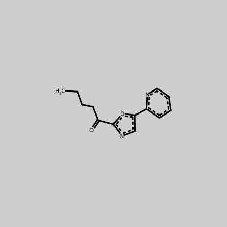 CCCCC(=O)c1ncc(-c2ccccn2)o1